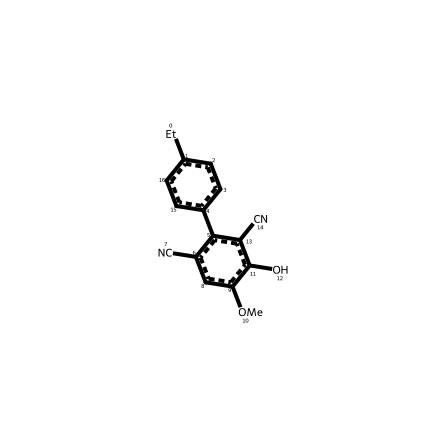 CCc1ccc(-c2c(C#N)cc(OC)c(O)c2C#N)cc1